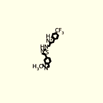 Cn1ncc2ccc(-c3cnc(NC[C@H](N)Cc4ccc(C(F)(F)F)cc4)s3)cc21